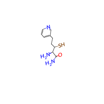 NC(=O)[C@@H](N)C(S)CCc1cccnc1